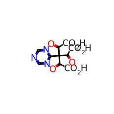 O=C(O)C(=O)C(C(=O)C(=O)O)(C(=O)C(=O)O)c1ncncn1